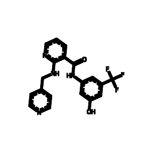 O=C(Nc1cc(O)cc(C(F)(F)F)c1)c1cccnc1NCc1ccncc1